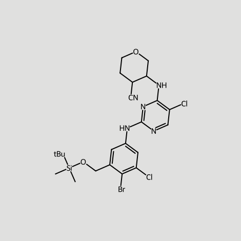 CC(C)(C)[Si](C)(C)OCc1cc(Nc2ncc(Cl)c(NC3COCCC3C#N)n2)cc(Cl)c1Br